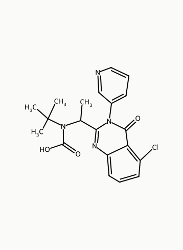 CC(c1nc2cccc(Cl)c2c(=O)n1-c1cccnc1)N(C(=O)O)C(C)(C)C